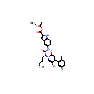 CCOC(=O)OC(C)OC(=O)c1cc2cc(NC(=O)[C@H](CCCOC)n3cc(OC)c(-c4cc(Cl)ccc4C(C)=O)cc3=O)ccc2[nH]1